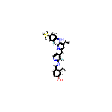 C=Cc1cc(Cc2ccnc(NCc3ccc(O)cc3CC)c2F)ncc1Nc1ccc(S(C)(C)C)cc1F